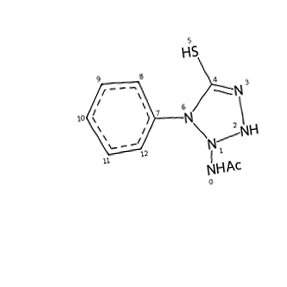 CC(=O)NN1NN=C(S)N1c1ccccc1